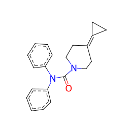 O=C(N1CCC(=C2CC2)CC1)N(c1ccccc1)c1ccccc1